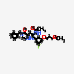 COCCCOc1cc(F)cc(C[C@@H](C[C@@H]2NCCN(Cc3ccccc3)C2=O)NC(C)=O)c1